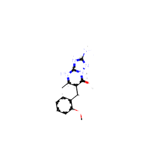 COc1ccccc1Cc1c(C)[nH]c2nc(N)nn2c1=O